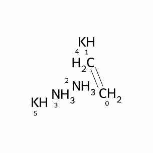 C=C.N.N.[KH].[KH]